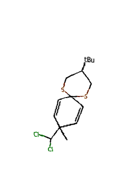 CC(C)(C)C1CSC2(C=CC(C)(C(Cl)Cl)C=C2)SC1